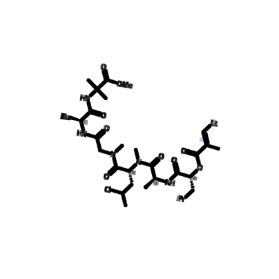 CC/C=C(\C)C(=O)O[C@H](CC(C)C)C(=O)N[C@@H](C)C(=O)N(C)[C@H](CC(C)Cl)C(=O)N(C)CC(=O)N[C@H](C(=O)NC(C)(C)C(=O)OC)C(C)CC